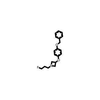 FCCCN1CC(Oc2ccc(OCc3ccccc3)cc2)C1